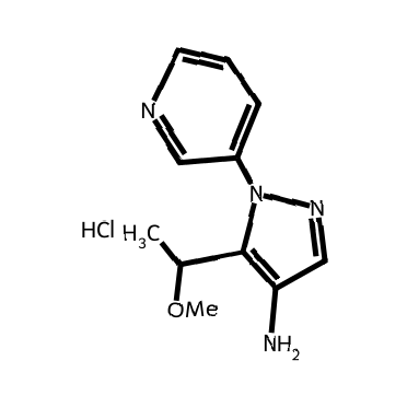 COC(C)c1c(N)cnn1-c1cccnc1.Cl